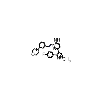 Cn1cc(-c2ccc(=N)n(/C=C/c3cccc(N4CCOCC4)c3)n2)c(-c2ccc(F)cc2)n1